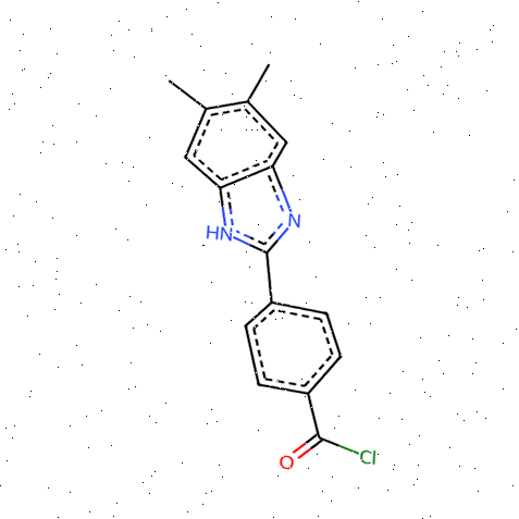 Cc1cc2nc(-c3ccc(C(=O)Cl)cc3)[nH]c2cc1C